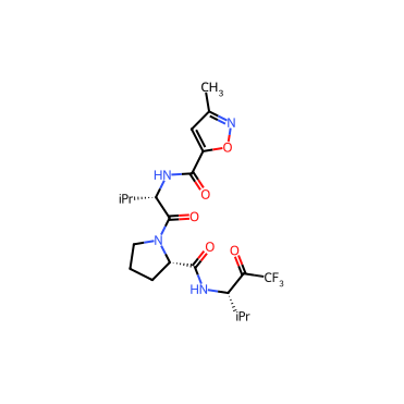 Cc1cc(C(=O)N[C@H](C(=O)N2CCC[C@H]2C(=O)N[C@H](C(=O)C(F)(F)F)C(C)C)C(C)C)on1